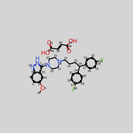 COc1ccc2n[nH]c(N3CCN(CCCC(c4ccc(F)cc4)c4ccc(F)cc4)CC3)c2c1.O=C(O)C=CC(=O)O